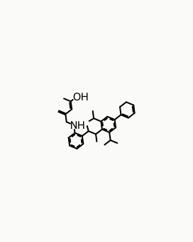 C=C(/C=C(\C)O)CNc1ccccc1C(C)C(C)c1c(C(C)C)cc(C2=CC=CCC2)cc1C(C)C